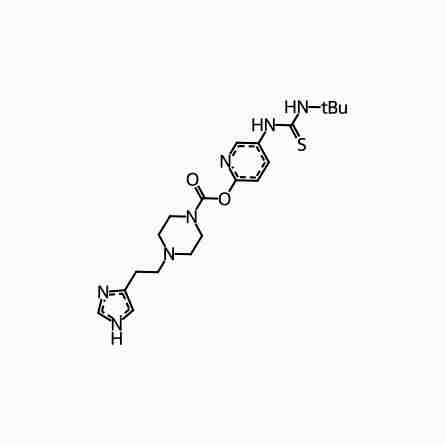 CC(C)(C)NC(=S)Nc1ccc(OC(=O)N2CCN(CCc3c[nH]cn3)CC2)nc1